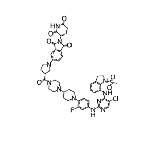 CS(=O)(=O)N1CCc2cccc(Nc3nc(Nc4ccc(N5CCC(N6CCN(C(=O)[C@H]7CCN(c8ccc9c(c8)C(=O)N(C8CCC(=O)NC8=O)C9=O)C7)CC6)CC5)c(F)c4)ncc3Cl)c21